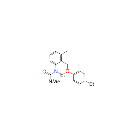 CCc1ccc(OCc2c(C)cccc2N(CC)C(=O)NC)c(C)c1